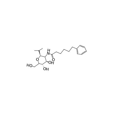 CC(C)[C@@H]1OC(CO)[C@@H](O)[C@H](O)C1NC(=O)CCCCCc1ccccc1